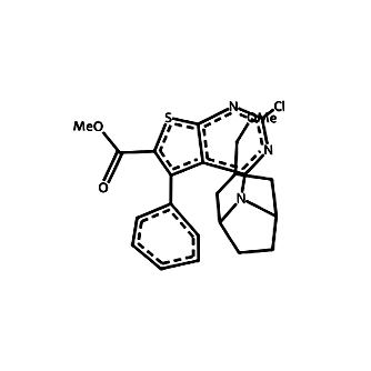 COCC1CC2CCC(C1)N2c1nc(Cl)nc2sc(C(=O)OC)c(-c3ccccc3)c12